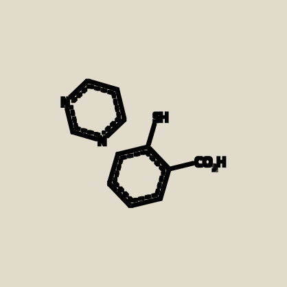 O=C(O)c1ccccc1S.c1cncnc1